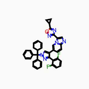 Fc1cccc(F)c1-c1nn(C(c2ccccc2)(c2ccccc2)C2C=CC=CC2)cc1-c1ccc2ncc(-c3noc(C4CC4)n3)n2c1